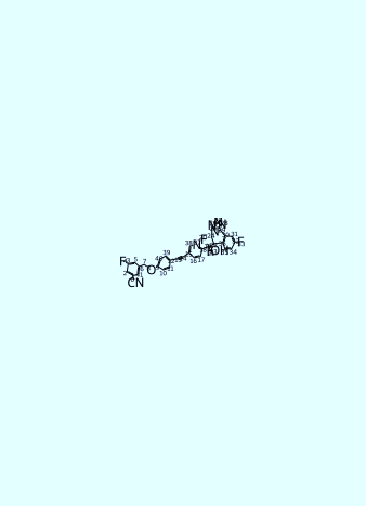 N#Cc1cc(F)cc(COc2ccc(C#Cc3ccc(C(F)(F)C4(O)Cn5nnnc5-c5cc(F)ccc54)nc3)cc2)c1